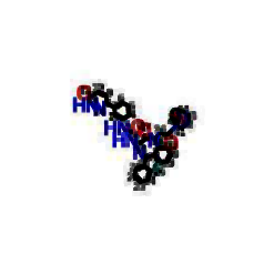 O=C(Nc1cccc(-c2ccc(=O)[nH]n2)c1)NC1N=C(c2ccccc2F)c2ccccc2N(CC(=O)N2CC3CCC(CC3)C2)C1=O